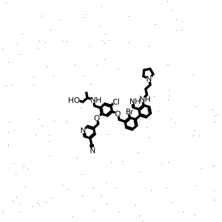 CC(CO)NCc1cc(Cl)c(OCc2cccc(-c3cccc(NCCCN4CCCC4)c3C=N)c2Br)cc1OCc1cncc(C#N)c1